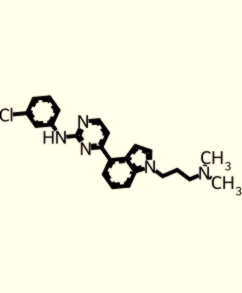 CN(C)CCCn1ccc2c(-c3ccnc(Nc4cccc(Cl)c4)n3)cccc21